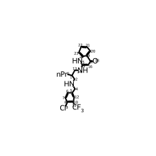 CCCC(CNCc1ccc(Cl)c(C(F)(F)F)c1)CNc1cc(=O)c2ccccc2[nH]1